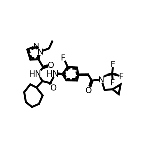 CCn1nccc1C(=O)NC(C(=O)Nc1ccc(CC(=O)N(CC2CC2)CC(F)(F)F)cc1F)C1CCCCCC1